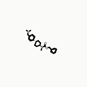 CN(C)Cc1ccc([C@H]2CC[C@H](N(C)C(=O)OCc3ccccc3)CC2)cc1